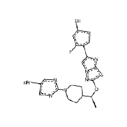 CCCc1cnc(N2CCC([C@H](C)Oc3nn4cc(-c5ccc(S)cc5F)nc4s3)CC2)nc1